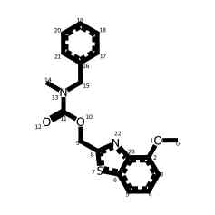 COc1cccc2sc(COC(=O)N(C)Cc3ccccc3)nc12